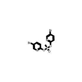 CP(=O)(Oc1ccc(Br)cn1)Oc1ccc(Br)cn1